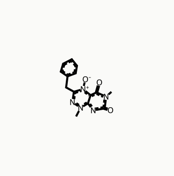 Cn1nc(Cc2ccccc2)[n+]([O-])c2c(=O)n(C)c(=O)nc1-2